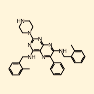 Cc1ccccc1CNc1nc2nc(N3CCNCC3)nc(NCc3ccccc3C)c2nc1-c1ccccc1